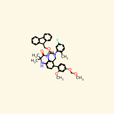 COCOc1ccc(-c2ccc3c(c2CN(C(=O)OCC2c4ccccc4-c4ccccc42)c2cc(F)ccc2C)N(C)C(=O)C(C)(C)N3)c(OC)c1